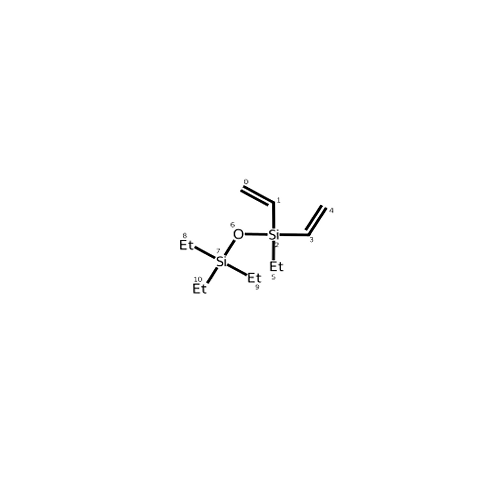 C=C[Si](C=C)(CC)O[Si](CC)(CC)CC